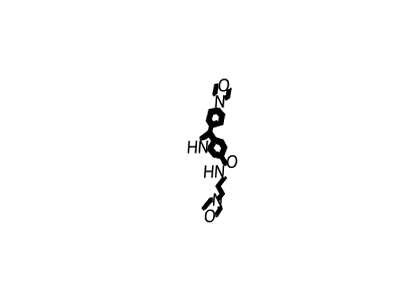 O=C(NCCCN1CCOCC1)c1ccc2c(-c3ccc(N4CCOCC4)cc3)c[nH]c2c1